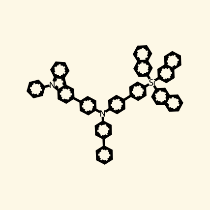 c1ccc(-c2ccc(N(c3ccc(-c4ccc([Si](c5ccc6ccccc6c5)(c5ccc6ccccc6c5)c5ccc6ccccc6c5)cc4)cc3)c3ccc(-c4ccc5c(c4)c4ccccc4n5-c4ccccc4)cc3)cc2)cc1